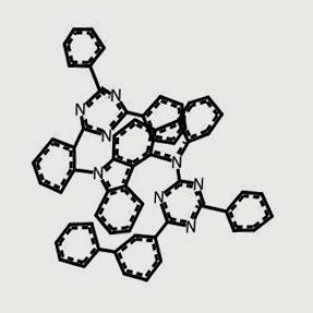 c1ccc(-c2cccc(-c3nc(-c4ccccc4)nc(-n4c5ccccc5c5ccc6c(c7ccccc7n6-c6ccccc6-c6nc(-c7ccccc7)nc(-c7ccccc7)n6)c54)n3)c2)cc1